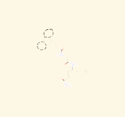 NC(=O)CC[C@H](NC(=O)CNC(=O)OCC1c2ccccc2-c2ccccc21)C(=O)O